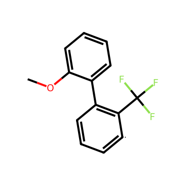 COc1ccccc1-c1ccc[c]c1C(F)(F)F